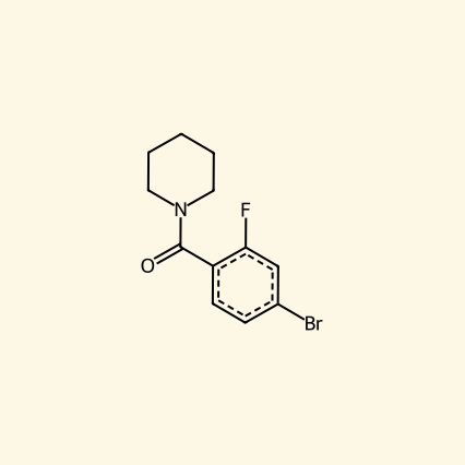 O=C(c1ccc(Br)cc1F)N1CCCCC1